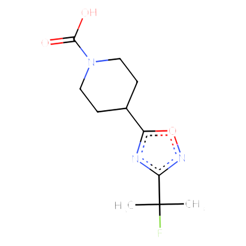 CC(C)(F)c1noc(C2CCN(C(=O)O)CC2)n1